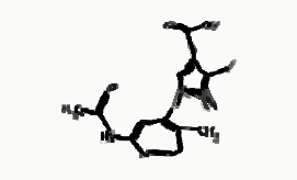 CC(=O)Nc1cc(-n2cc(C(=O)O)c(I)n2)c(C)cn1